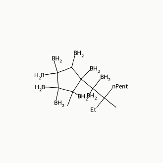 BC1C(B)(B)C(B)(B)C(B)(C)C1(B)C(B)(B)C(C)(CC)CCCCC